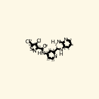 Nc1ncccc1NCc1cc(NC(=O)c2nsc(Cl)c2Cl)ccn1